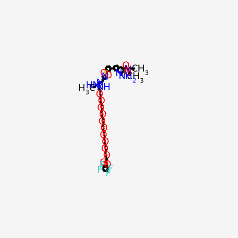 CCCN(OCC)C(=O)C1=Cc2ccc(-c3cccc(S(=O)(=O)N4CC(CN=C(NCC)NCCOCCOCCOCCOCCOCCOCCOCCOCCOCCOCCC(=O)Oc5c(F)c(F)cc(F)c5F)C4)c3)cc2N=C(N)C1